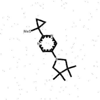 CSC1(c2ncc(B3CC(C)(C)C(C)(C)C3)cn2)CC1